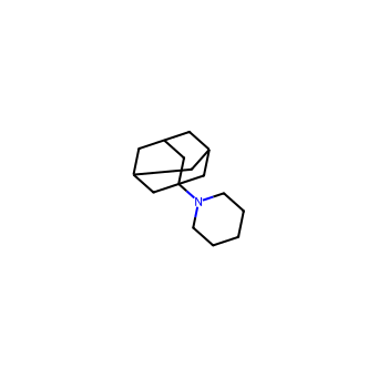 C1CCN(C23CC4CC(CC(C4)C2)C3)CC1